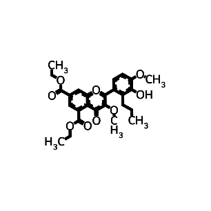 CCCc1c(-c2oc3cc(C(=O)OCC)cc(C(=O)OCC)c3c(=O)c2OC)ccc(OC)c1O